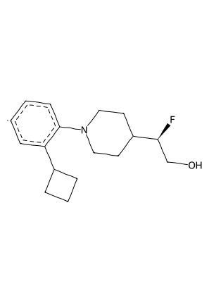 OC[C@H](F)C1CCN(c2cc[c]cc2C2CCC2)CC1